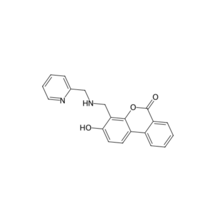 O=c1oc2c(CNCc3ccccn3)c(O)ccc2c2ccccc12